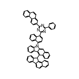 c1ccc(-c2nc(-c3ccc4c(ccc5ccccc54)c3)nc(-c3ccc(-n4c5ccccc5c5c(C6c7ccccc7-c7ccc8ccccc8c76)c6ccccc6cc54)c4ccccc34)n2)cc1